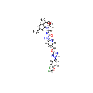 Cc1ccc(C(C)C)c(N2C(=O)CS/C2=N\C(=O)Nc2ccc(COc3ncn(-c4ccc(OC(F)(F)F)cc4)n3)cn2)c1